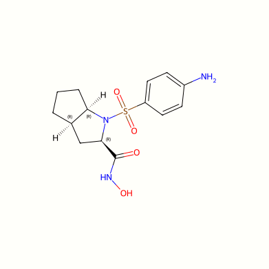 Nc1ccc(S(=O)(=O)N2[C@@H](C(=O)NO)C[C@H]3CCC[C@H]32)cc1